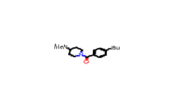 CCC(C)c1ccc(C(=O)N2CCC(NC)CC2)cc1